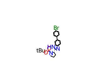 CC(C)(C)OC(=O)N1CCC[C@H]1c1nc2ccc(-c3ccc(Br)cc3)cc2[nH]1